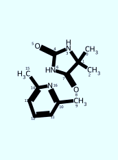 CC1(C)NC(=O)NC1=O.Cc1cccc(C)n1